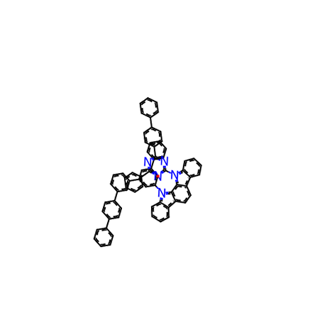 c1ccc(-c2ccc(-c3cccc(-c4cc(-c5ccccc5)cc(-n5c6ccccc6c6ccc7c8ccccc8n(-c8nc(-c9ccccc9)nc(-c9ccc(-c%10ccccc%10)cc9)n8)c7c65)c4)c3)cc2)cc1